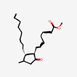 CCCCCCCC[C@H]1C(C)CC(=O)[C@@H]1C/C=C\C/C=C/C(=O)OC